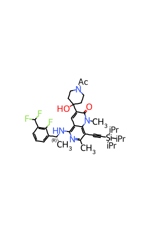 CC(=O)N1CCC(O)(c2cc3c(N[C@H](C)c4cccc(C(F)F)c4F)nc(C)c(C#C[Si](C(C)C)(C(C)C)C(C)C)c3n(C)c2=O)CC1